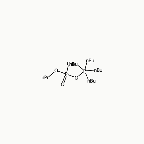 CCCCP(CCCC)(CCCC)(CCCC)OP(=O)(O)OCCC